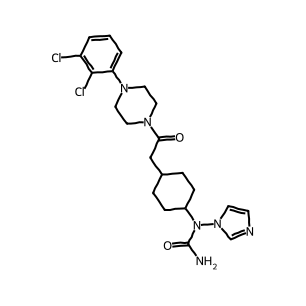 NC(=O)N(C1CCC(CC(=O)N2CCN(c3cccc(Cl)c3Cl)CC2)CC1)n1ccnc1